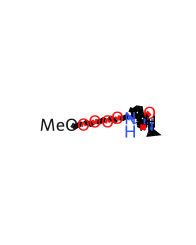 COCCOCCOCCOCCOCCNc1c(C)ccc2c1[C@]1(C)CCN(CC3CC3)[C@H](C2=O)[C@@H]1C